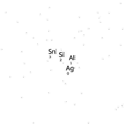 [Ag].[Al].[Si].[Sn]